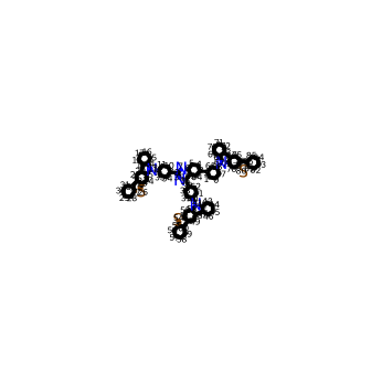 c1cc(-c2ccc3nc(-c4ccc(-n5c6ccccc6c6cc7c(cc65)sc5ccccc57)cc4)nc(-c4ccc(-n5c6ccccc6c6cc7c(cc65)sc5ccccc57)cc4)c3c2)cc(-n2c3ccccc3c3cc4c(cc32)sc2ccccc24)c1